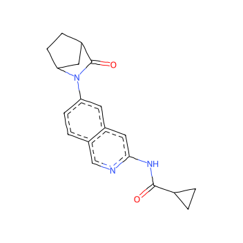 O=C(Nc1cc2cc(N3C(=O)C4CCC3C4)ccc2cn1)C1CC1